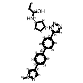 CCC(O)N[C@H]1CC[C@@H](n2nncc2-c2ccc(-c3ccc(-c4cnn(C)c4)cc3)cc2)C1